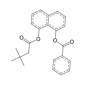 CC(C)(C)CC(=O)Oc1cccc2cccc(OC(=O)c3ccccc3)c12